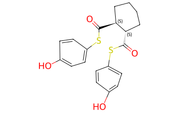 O=C(Sc1ccc(O)cc1)[C@H]1CCCC[C@@H]1C(=O)Sc1ccc(O)cc1